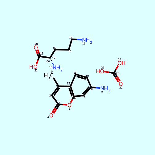 Cc1cc(=O)oc2cc(N)ccc12.NCCC[C@H](N)C(=O)O.O=C(O)O